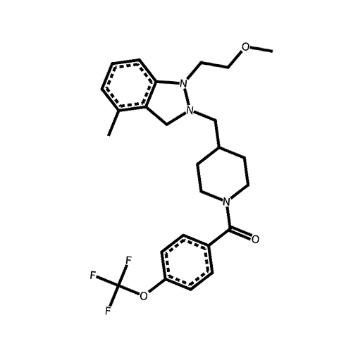 COCCN1c2cccc(C)c2CN1CC1CCN(C(=O)c2ccc(OC(F)(F)F)cc2)CC1